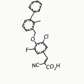 Cc1c(COc2c(F)cc(/C=C(\C#N)C(=O)O)cc2Cl)cccc1-c1ccccc1